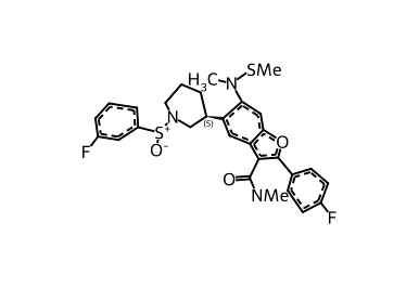 CNC(=O)c1c(-c2ccc(F)cc2)oc2cc(N(C)SC)c([C@@H]3CCCN([S+]([O-])c4cccc(F)c4)C3)cc12